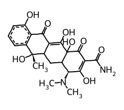 CN(C)[C@@H]1C(O)=C(C(N)=O)C(=O)C2(O)C(O)=C3C(=O)c4c(O)cccc4[C@@](C)(O)C3CC12